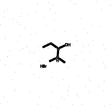 Br.CCN(O)[SiH](C)C